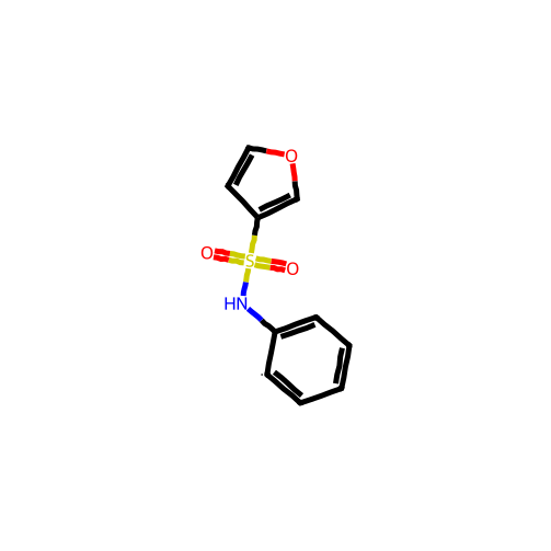 O=S(=O)(Nc1[c]cccc1)c1ccoc1